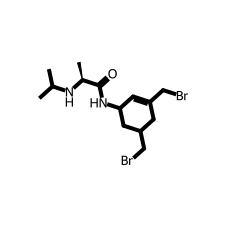 CC(C)N[C@@H](C)C(=O)NC1C=C(CBr)CC(CBr)C1